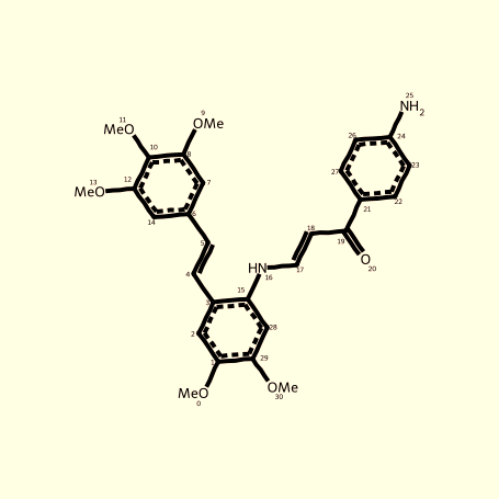 COc1cc(C=Cc2cc(OC)c(OC)c(OC)c2)c(NC=CC(=O)c2ccc(N)cc2)cc1OC